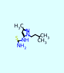 Cc1cc(NC(N)=S)n(CCC(C)C)n1